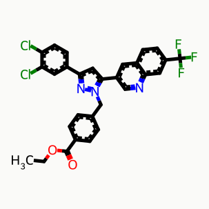 CCOC(=O)c1ccc(Cn2nc(-c3ccc(Cl)c(Cl)c3)cc2-c2cnc3cc(C(F)(F)F)ccc3c2)cc1